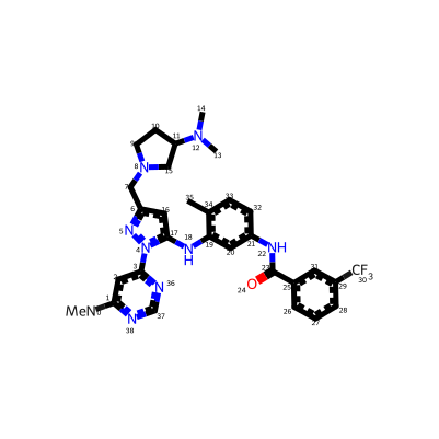 CNc1cc(-n2nc(CN3CCC(N(C)C)C3)cc2Nc2cc(NC(=O)c3cccc(C(F)(F)F)c3)ccc2C)ncn1